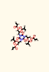 C=CC(=O)OCC(Cn1c(=O)n(CC(COC(=O)C=C)OC(=O)C(=C)C)c(=O)n(CC(COC(=O)C=C)OC(=O)C(=C)C)c1=O)OC(=O)C(=C)C